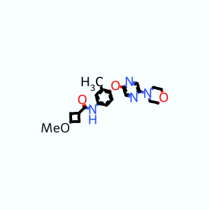 COC1CC(C(=O)Nc2ccc(Oc3cnc(N4CCOCC4)cn3)c(C)c2)C1